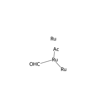 C[C](=O)[Ru]([Ru])[CH]=O.[Ru]